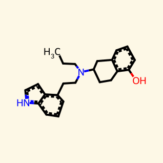 CCCN(CCc1cccc2[nH]ccc12)C1CCc2c(O)cccc2C1